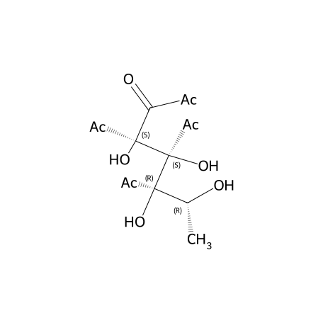 CC(=O)C(=O)[C@@](O)(C(C)=O)[C@](O)(C(C)=O)[C@@](O)(C(C)=O)[C@@H](C)O